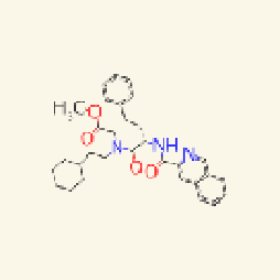 COC(=O)CN(CCC1CCCCC1)C(=O)[C@H](CCc1ccccc1)NC(=O)c1cc2ccccc2cn1